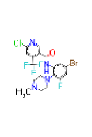 CN1CCN(c2c(F)cc(Br)cc2NC(=O)c2cnc(Cl)cc2C(F)(F)F)CC1